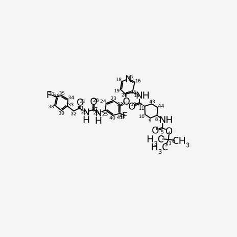 CC(C)(C)OC(=O)N[C@H]1CC[C@@H](C(=O)Nc2cnccc2Oc2ccc(NC(=O)NC(=O)Cc3ccc(F)cc3)cc2F)CC1